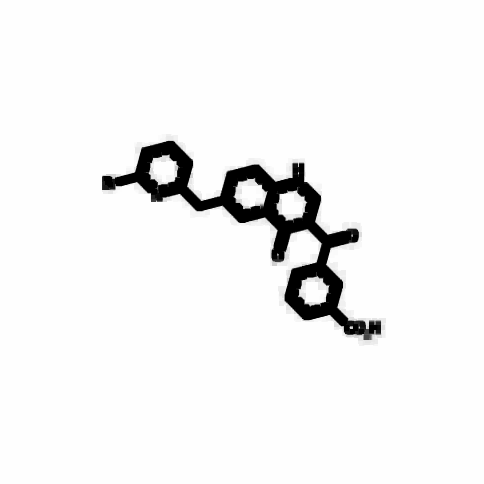 O=C(O)c1cccc(C(=O)c2c[nH]c3ccc(Cc4cccc(Br)n4)cc3c2=O)c1